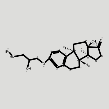 CC(C)NCC(O)COc1ccc2c(c1)CC[C@@H]1[C@@H]2CC[C@]2(C)C(=O)CC[C@@H]12